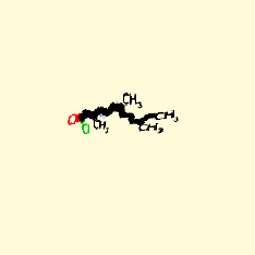 CCC(C)CCCC(C)C/C=C/C(C)=C/C(=O)Cl